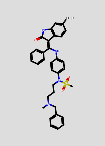 CCOC(=O)c1ccc2c(c1)NC(=O)C2=C(Nc1ccc(N(CCCN(C)Cc2ccccc2)S(C)(=O)=O)cc1)c1ccccc1